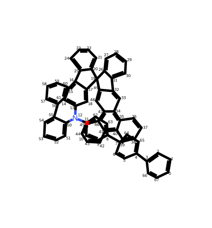 c1ccc(-c2ccc(-c3ccc(N(c4ccc5c(c4)C4(c6ccccc6-5)c5ccccc5-c5cc6c7ccccc7c7ccccc7c6cc54)c4ccccc4-c4ccccc4)cc3)cc2)cc1